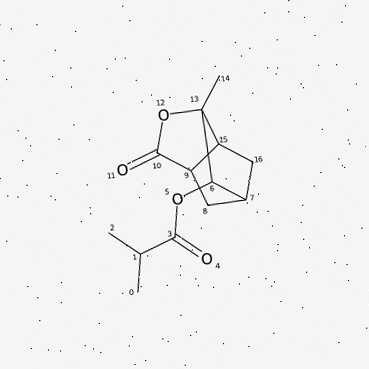 CC(C)C(=O)OC1C2CC3C(=O)OC1(C)C3C2